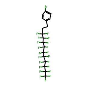 FC(F)(F)C(F)(F)C(F)(F)C(F)(F)C(F)(F)C(F)(F)C(F)(F)C(F)(F)C(F)(F)C(F)(F)CCc1ccc(Br)cc1